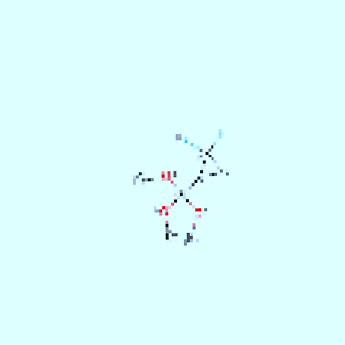 CCO[Si](OCC)(OCC)C1CC1(F)F